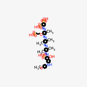 COc1ccc(Nc2ccc3c(O)c(/N=N/c4cc(C)c(N=Nc5cc(C)c(N=Nc6cc(C)c(N=Nc7ccc(S(=O)(=O)O)cc7S(=O)(=O)O)cc6OCCCS(=O)(=O)O)cc5C)cc4C)c(S(=O)(=O)O)cc3c2)cc1